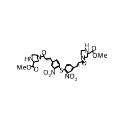 COC(=O)C1CN(C(=O)/C=C/c2ccc(Sc3ccc(/C=C/C(=O)N4CCNC(C(=O)OC)C4)cc3[N+](=O)[O-])c([N+](=O)[O-])c2)CCN1